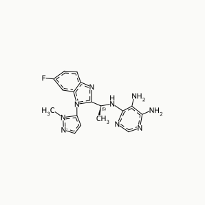 C[C@H](Nc1ncnc(N)c1N)c1nc2ccc(F)cc2n1-c1ccnn1C